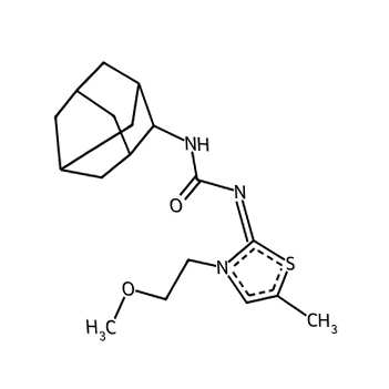 COCCn1cc(C)sc1=NC(=O)NC1C2CC3CC(C2)CC1C3